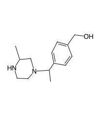 CC1CN(C(C)c2ccc(CO)cc2)CCN1